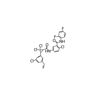 O=C(Nc1ccc(F)cc1F)c1cc(NC(=O)C2C(c3cc(Cl)cc(CF)c3)C2(Cl)Cl)ccc1Cl